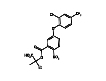 CCC(C)(OC(=O)c1cc(Oc2ccc(C(F)(F)F)cc2Cl)ccc1[N+](=O)[O-])C(=O)O